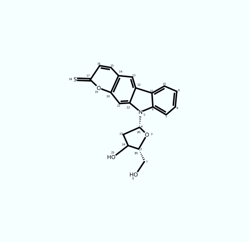 OC[C@H]1O[C@@H](n2c3ccccc3c3cc4ccc(=S)oc4cc32)CC1O